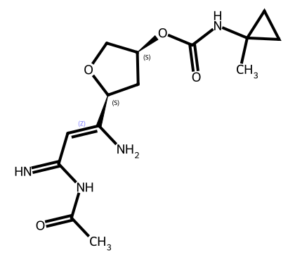 CC(=O)NC(=N)/C=C(\N)[C@@H]1C[C@H](OC(=O)NC2(C)CC2)CO1